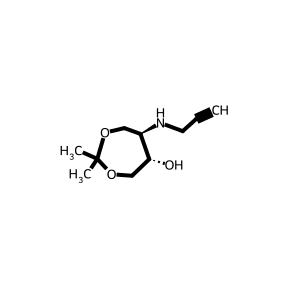 C#CCN[C@@H]1COC(C)(C)OC[C@H]1O